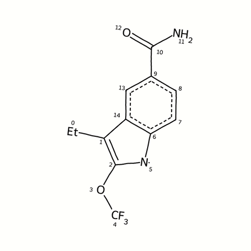 CCC1=C(OC(F)(F)F)[N]c2ccc(C(N)=O)cc21